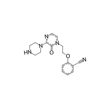 N#Cc1ccccc1OCCn1ccnc(N2CCNCC2)c1=O